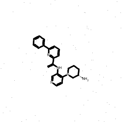 C=C(Nc1cnccc1N1CCC[C@H](N)C1)c1cccc(-c2ccccc2)n1